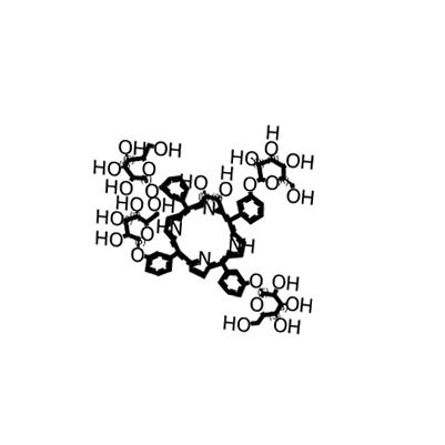 OCC1O[C@@H](Oc2cccc(-c3c4nc(c(-c5cccc(O[C@@H]6OC(CO)[C@@H](O)[C@H](O)C6O)c5)c5ccc([nH]5)c(-c5cccc(OC6O[C@H](CO)C(O)[C@@H](O)[C@H]6O)c5)c5nc(c(-c6cccc(O[C@@H]7OC(CO)[C@@H](O)[C@H](O)C7O)c6)c6ccc3[nH]6)[C@@H](O)[C@H]5O)C=C4)c2)C(O)[C@@H](O)[C@@H]1O